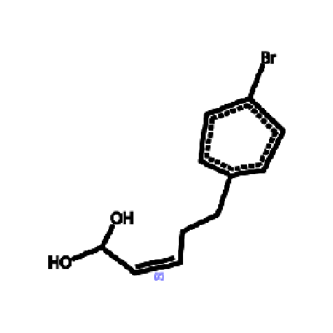 OC(O)/C=C\CCc1ccc(Br)cc1